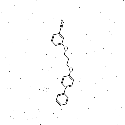 N#Cc1[c]c(OCCCOc2ccc(-c3ccccc3)cc2)ccc1